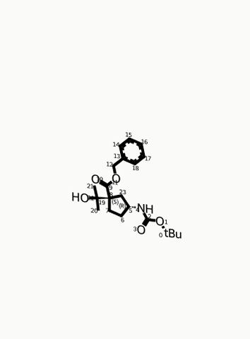 CC(C)(C)OC(=O)N[C@@H]1CC[C@@](C(=O)OCc2ccccc2)(C(C)(C)O)C1